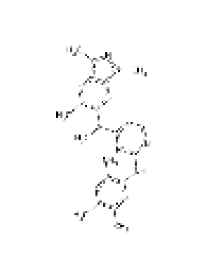 Cc1cc(C)c(Nc2nccc(N(C)c3cc4c(cc3C)c(C)nn4C)n2)cc1C